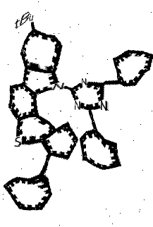 CC(C)(C)c1ccc2c(c1)c1ccc3sc4c(-c5ccccc5)cccc4c3c1n2-c1nc(-c2ccccc2)nc(-c2ccccc2)n1